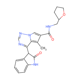 Cc1c(C(=O)NCC2CCCO2)cn2ncnc(C3C(=O)Nc4ccccc43)c12